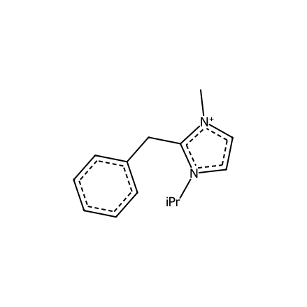 CC(C)n1cc[n+](C)c1Cc1ccccc1